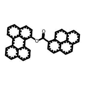 O=C(Oc1ccc2cccc3c4cccc5cccc(c1c23)c54)c1ccc2ccc3cccc4ccc1c2c34